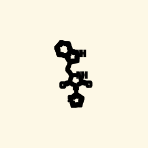 O=C1NC(Cc2c[nH]c3ccccc23)C(=O)N1c1cccs1